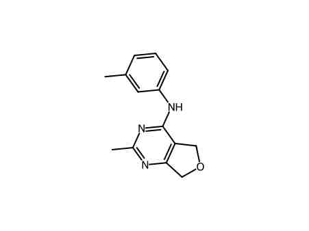 Cc1cccc(Nc2nc(C)nc3c2COC3)c1